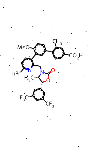 CCCc1ccc(-c2cc(-c3ccc(C(=O)O)cc3C)ccc2OC)c(CN2C(=O)O[C@H](c3cc(C(F)(F)F)cc(C(F)(F)F)c3)[C@@H]2C)n1